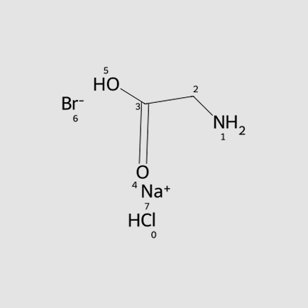 Cl.NCC(=O)O.[Br-].[Na+]